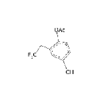 CC(=O)Oc1ccc(O)cc1CC(F)(F)F